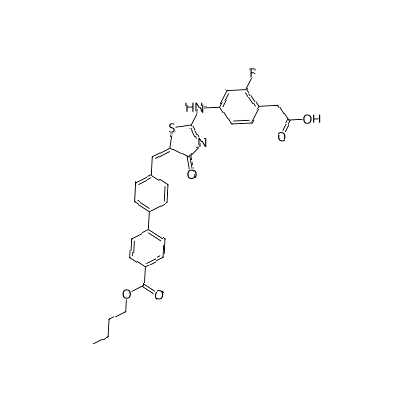 CCCCOC(=O)c1ccc(-c2ccc(C=C3SC(Nc4ccc(CC(=O)O)c(F)c4)=NC3=O)cc2)cc1